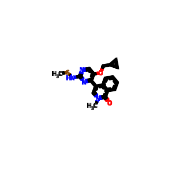 CSNc1ncc(OCC2CC2)c(-c2cn(C)c(=O)c3ccccc23)n1